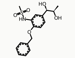 C[C@@H](O)[C@H](O)c1ccc(OCc2ccccc2)c(NS(C)(=O)=O)c1